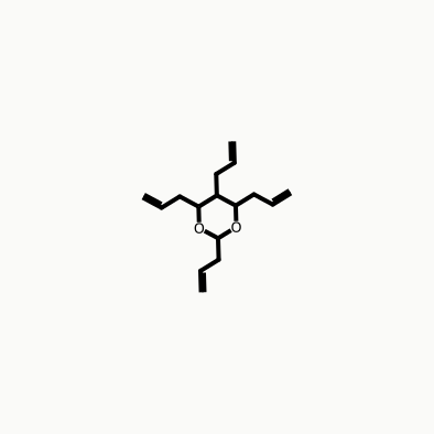 C=CCC1OC(CC=C)C(CC=C)C(CC=C)O1